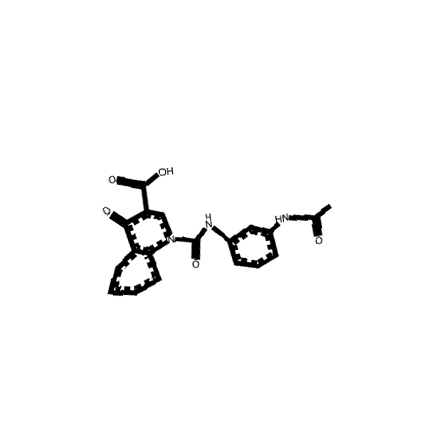 CC(=O)Nc1cccc(NC(=O)n2cc(C(=O)O)c(=O)c3ccccc32)c1